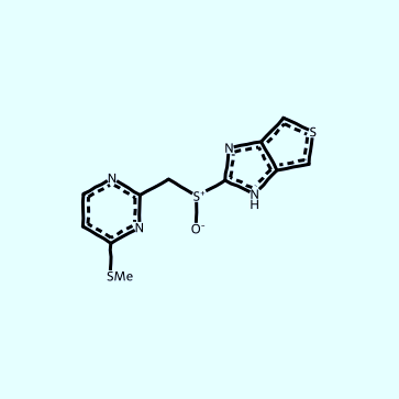 CSc1ccnc(C[S+]([O-])c2nc3cscc3[nH]2)n1